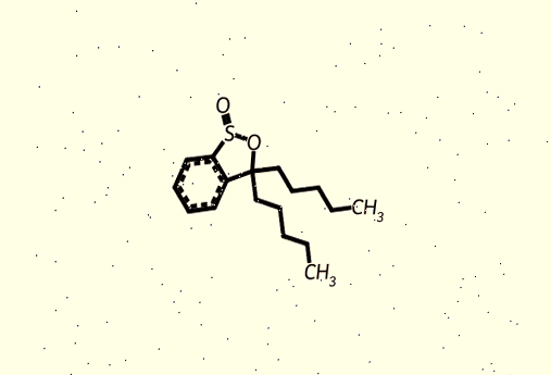 CCCCCC1(CCCCC)OS(=O)c2ccccc21